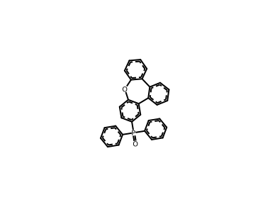 O=P(c1ccccc1)(c1ccccc1)c1ccc2c(c1)-c1ccccc1-c1ccccc1O2